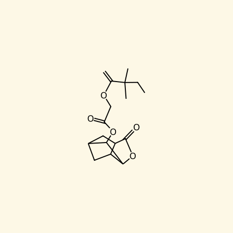 C=C(OCC(=O)OC1C2CC3C(=O)OC1C3C2)C(C)(C)CC